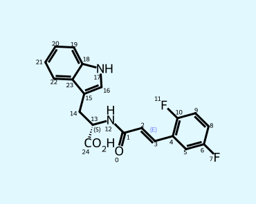 O=C(/C=C/c1cc(F)ccc1F)N[C@@H](Cc1c[nH]c2ccccc12)C(=O)O